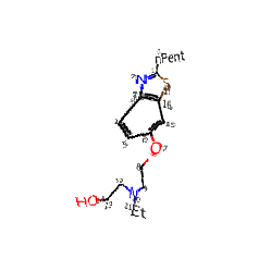 CCCCCc1nc2ccc(OCCN(CC)CCO)cc2s1